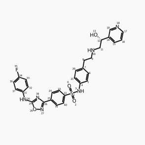 O=S(=O)(Nc1ccc(CCNC[C@H](O)c2cccnc2)cc1)c1ccc(-c2noc(Nc3ccc(F)cc3)n2)cc1